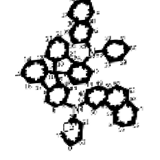 c1ccc(N(c2ccc3c(c2)C2(c4ccccc4-3)c3ccccc3-c3c(N(c4ccccc4)c4ccc5ccccc5c4)cccc32)c2ccc3ccc4ccccc4c3c2)cc1